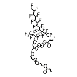 C=CC(=O)OCCOO/C=C\OCC(COCC(F)(COC(F)(/C(F)=C(F)/C(F)=C(F)/C(F)=C(F)/C(F)=C(\F)CF)C(F)(F)C(F)(F)F)C(F)(F)C(F)(F)F)OOOOC(=O)C=C